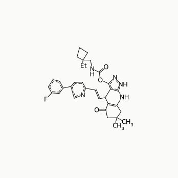 CCC1(CNC(=O)Oc2n[nH]c3c2C(/C=C/c2ccc(-c4cccc(F)c4)cn2)C2=C(CC(C)(C)CC2=O)N3)CCC1